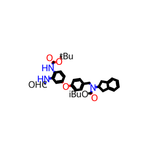 CC(C)COC(=O)N(Cc1ccc(Oc2ccc(NC(=O)OC(C)(C)C)c(NC=O)c2)cc1)C1Cc2ccccc2C1